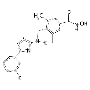 Cc1cc(C(=O)NO)cc2c1CN(c1nc(-c3cccc(Cl)c3)cs1)CC2